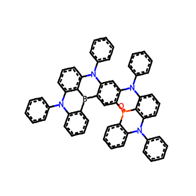 O=P12c3ccccc3N(c3ccccc3)c3cccc(c31)N(c1ccccc1)c1cc3c(cc12)B1c2ccccc2N(c2ccccc2)c2cccc(c21)N3c1ccccc1